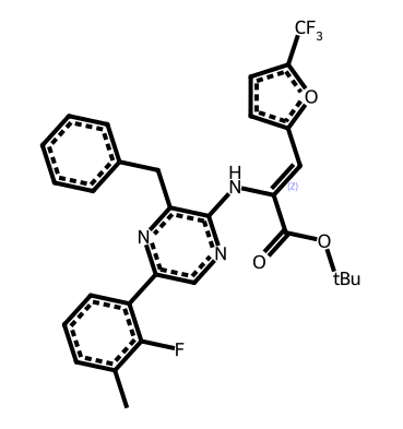 Cc1cccc(-c2cnc(N/C(=C\c3ccc(C(F)(F)F)o3)C(=O)OC(C)(C)C)c(Cc3ccccc3)n2)c1F